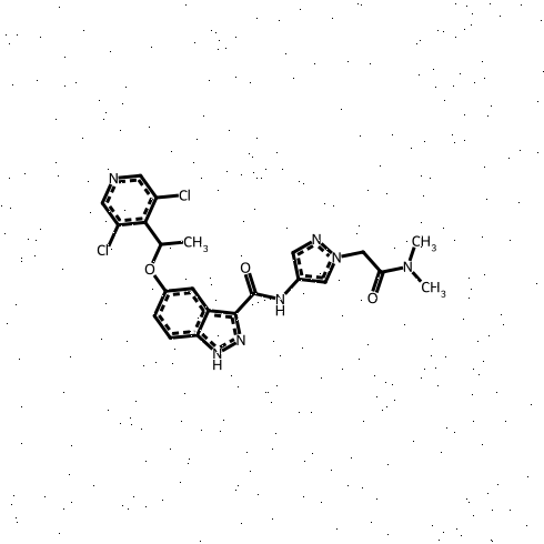 CC(Oc1ccc2[nH]nc(C(=O)Nc3cnn(CC(=O)N(C)C)c3)c2c1)c1c(Cl)cncc1Cl